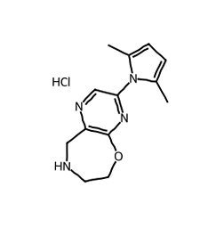 Cc1ccc(C)n1-c1cnc2c(n1)OCCNC2.Cl